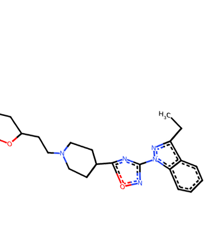 CCc1nn(-c2noc(C3CCN(CCC4CCCCO4)CC3)n2)c2ccccc12